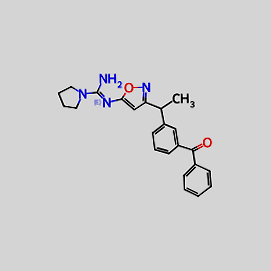 CC(c1cccc(C(=O)c2ccccc2)c1)c1cc(/N=C(\N)N2CCCC2)on1